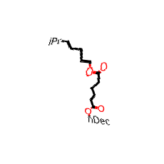 CCCCCCCCCCOC(=O)CCCCC(=O)OCCCCCC(C)C